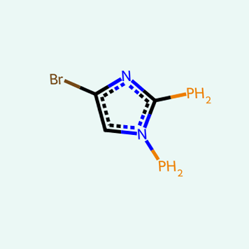 Pc1nc(Br)cn1P